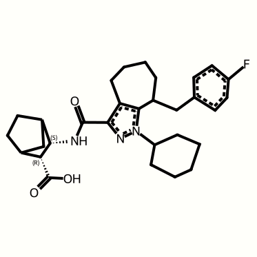 O=C(N[C@H]1C2CCC(C2)[C@H]1C(=O)O)c1nn(C2CCCCC2)c2c1CCCCC2Cc1ccc(F)cc1